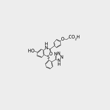 O=C(O)COc1ccc(C(=O)Nc2cc(O)ccc2Sc2ccccc2-c2nnn[nH]2)cc1